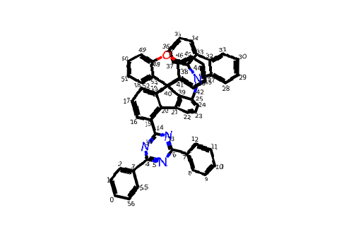 c1ccc(-c2nc(-c3ccccc3)nc(-c3cccc4c3-c3cccc(-n5c6ccccc6c6ccccc65)c3C43c4ccccc4Oc4ccccc43)n2)cc1